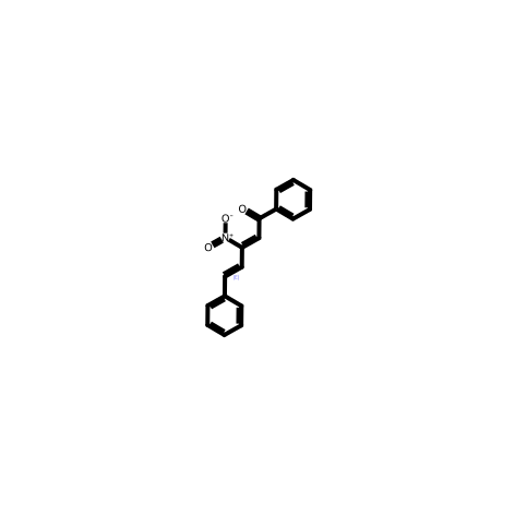 O=C(C=C(/C=C/c1ccccc1)[N+](=O)[O-])c1ccccc1